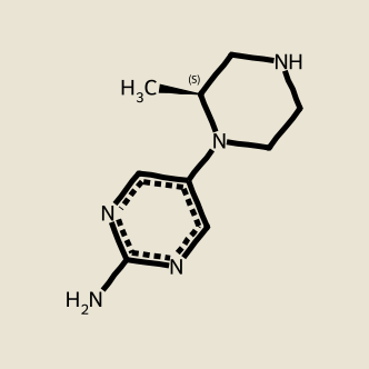 C[C@H]1CNCCN1c1cnc(N)nc1